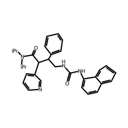 CC(C)N(C(=O)C(c1cccnc1)C(CNC(=O)Nc1cccc2ccccc12)c1ccccc1)C(C)C